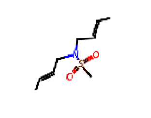 CC=CCN(CC=CC)S(C)(=O)=O